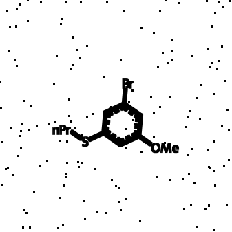 CCCSc1cc(Br)cc(OC)c1